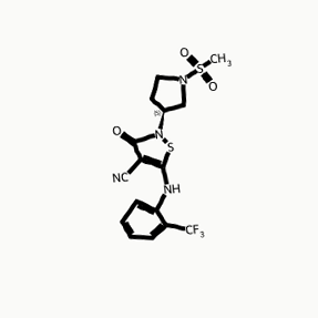 CS(=O)(=O)N1CC[C@H](n2sc(Nc3ccccc3C(F)(F)F)c(C#N)c2=O)C1